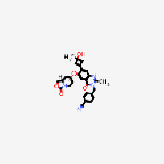 Cc1nc2cc(C3CC(C)(O)C3)c(O[C@H]3CCN4C(=O)OC[C@@H]4C3)cc2c(=O)n1Cc1ccc(C#N)cc1